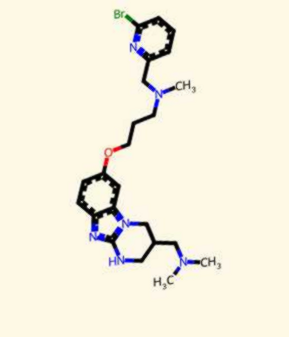 CN(C)CC1CNc2nc3ccc(OCCCN(C)Cc4cccc(Br)n4)cc3n2C1